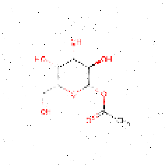 CC(=O)O[C@@H]1O[C@H](CO)[C@H](O)[C@H](O)[C@H]1O